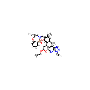 CCOC(=O)CC(c1ccc(C)c(CN2C[C@@H](C)Oc3ccccc3S2(=O)=O)c1)c1cnc2c(nnn2C)c1C